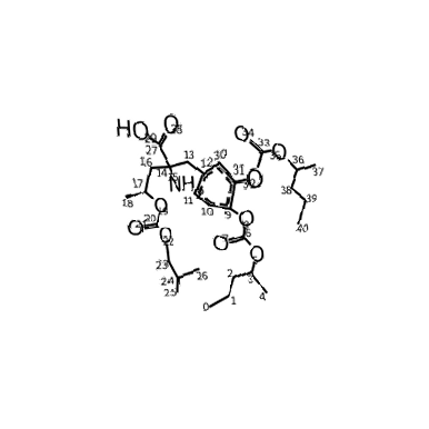 CCCC(C)OC(=O)Oc1ccc(CC(N)(C[C@H](C)OC(=O)OCC(C)C)C(=O)O)cc1OC(=O)OC(C)CCC